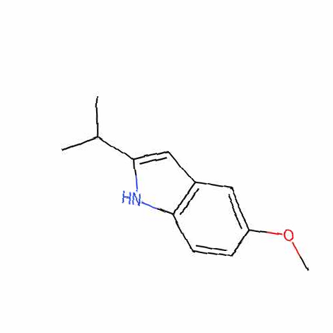 COc1ccc2[nH]c(C(C)C)cc2c1